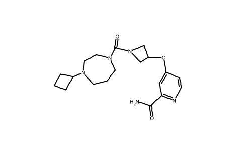 NC(=O)c1cc(OC2CN(C(=O)N3CCCN(C4CCC4)CC3)C2)ccn1